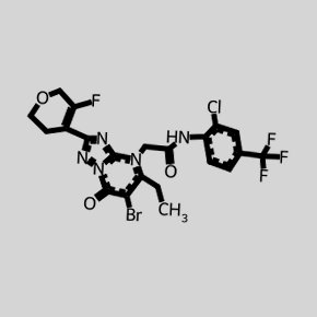 CCc1c(Br)c(=O)n2nc(C3=C(F)COCC3)nc2n1CC(=O)Nc1ccc(C(F)(F)F)cc1Cl